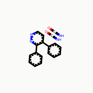 N=C=O.N=C=O.c1ccc(-c2ccnnc2-c2ccccc2)cc1